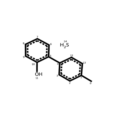 Cc1ccc(-c2ccccc2O)cc1.S